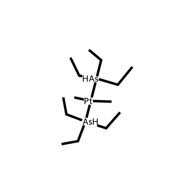 CC[AsH](CC)(CC)[Pt]([CH3])([CH3])[AsH](CC)(CC)CC